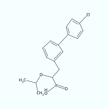 CC(C)OC(Cc1cccc(-c2ccc(Cl)cc2)c1)C(=O)O